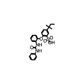 CCC(C)(C)c1ccc(Oc2ccccc2NC(=O)Nc2ccccc2)c(S(=O)(=O)O)c1